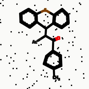 CC(=O)C(C(=O)c1ccc(C)cc1)C1c2ccccc2Sc2ccccc21